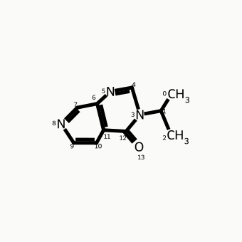 CC(C)n1cnc2cnccc2c1=O